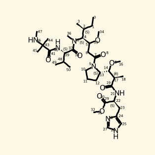 CC[C@H](C)[C@@H](C(CC(=O)N1CCC[C@H]1C(OC)[C@@H](C)C(=O)N[C@@H](Cc1c[nH]cn1)C(=O)OC)OC)N(C)C(=O)[C@@H](NC(=O)C(C)(C)NC)C(C)C